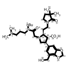 CCCCN(CCCN(C)C)C(=O)CN1C[C@H](c2cc(CO)c3c(c2)OCO3)[C@@H](C(=O)O)[C@@H]1CCN1CCC(C)(C)C1=O